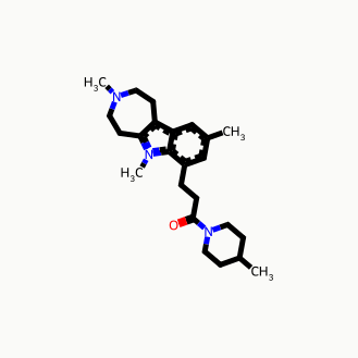 Cc1cc(CCC(=O)N2CCC(C)CC2)c2c(c1)c1c(n2C)CCN(C)CC1